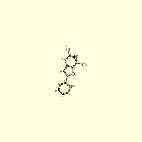 Clc1nc(Cl)c2oc(-c3ccccn3)cc2n1